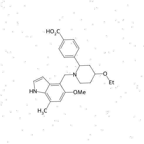 CCOC1CCN(Cc2c(OC)cc(C)c3[nH]ccc23)C(c2ccc(C(=O)O)cc2)C1